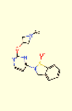 CC(=O)N1CC(Oc2nccc(N3Cc4ccccc4[S+]3[O-])n2)C1